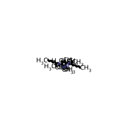 CCCCCCC(/C=C(\C)C1=C(C)C(C)=C(/C(C)=C/C(CCCCCC)=C(C)C)C(=N/C)/C1=N\C)=C(C)C